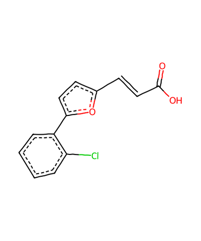 O=C(O)C=Cc1ccc(-c2ccccc2Cl)o1